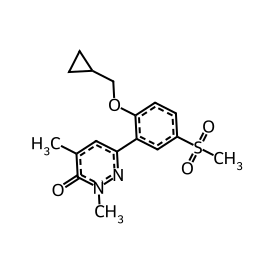 Cc1cc(-c2cc(S(C)(=O)=O)ccc2OCC2CC2)nn(C)c1=O